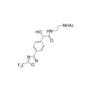 CC(=O)NCCNC(=O)C(O)c1ccc(-c2noc(C(F)(F)F)n2)cc1